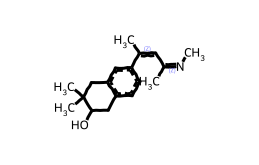 C/N=C(C)\C=C(\C)c1ccc2c(c1)CC(C)(C)C(O)C2